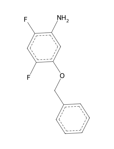 Nc1cc(OCc2ccccc2)c(F)cc1F